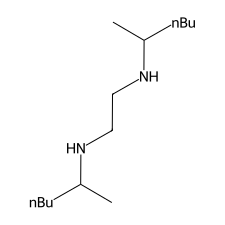 CCCCC(C)NCCNC(C)CCCC